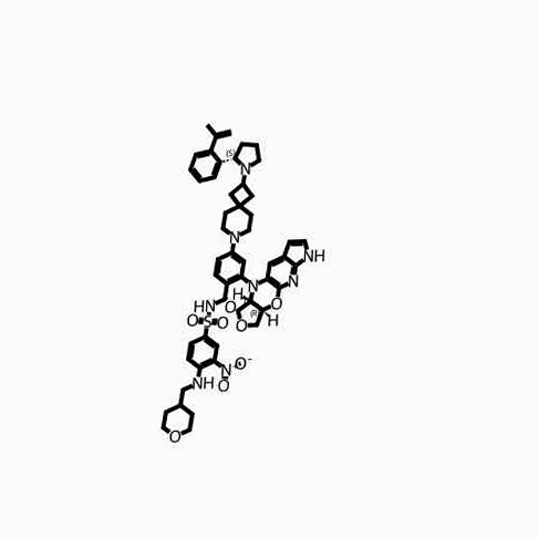 C=C(C)c1ccccc1[C@@H]1CCCN1C1CC2(CCN(c3ccc(C(=O)NS(=O)(=O)c4ccc(NCC5CCOCC5)c([N+](=O)[O-])c4)c(N4c5cc6cc[nH]c6nc5O[C@H]5COC[C@@H]54)c3)CC2)C1